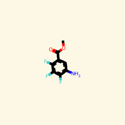 COC(=O)c1cc(N)c(F)c(F)c1F